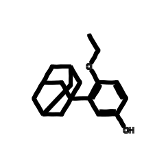 CCOc1ccc(O)cc1C12CC3CC(CC(C3)C1)C2